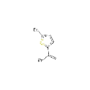 C=C(c1ccc(CC)s1)C(C)C